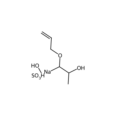 C=CCO[CH]([Na])C(C)O.O=S(=O)(O)O